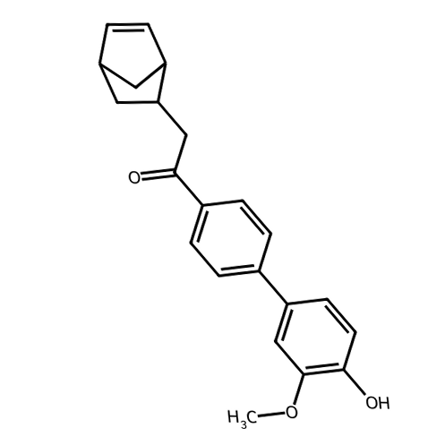 COc1cc(-c2ccc(C(=O)CC3CC4C=CC3C4)cc2)ccc1O